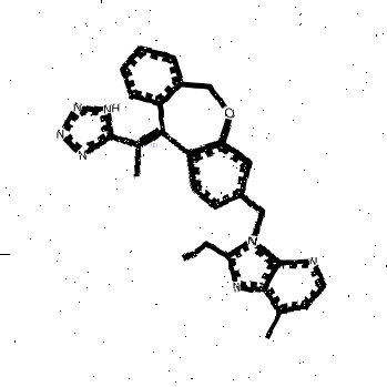 CCc1nc2c(C)ccnc2n1Cc1ccc2c(c1)OCc1ccccc1/C2=C(/C)c1nnn[nH]1